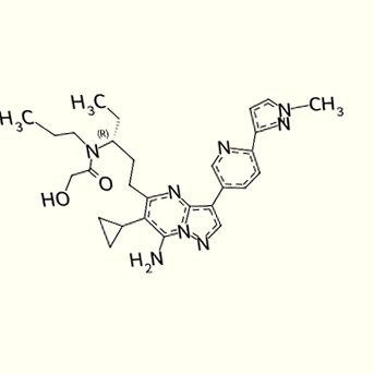 CCCN(C(=O)CO)[C@H](CC)CCc1nc2c(-c3ccc(-c4ccn(C)n4)nc3)cnn2c(N)c1C1CC1